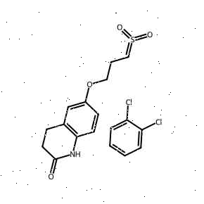 Clc1ccccc1Cl.O=C1CCc2cc(OCCC=S(=O)=O)ccc2N1